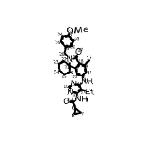 CCc1c(NC(=O)C2CC2)ncnc1Nc1cc(C)c2c(c1)C1(CCCCC1)N(Cc1ccc(OC)cc1)C2=O